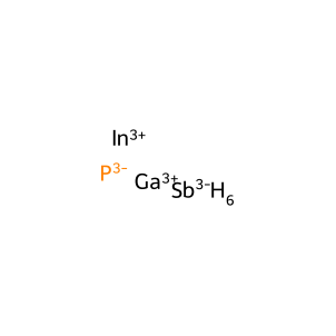 [Ga+3].[In+3].[P-3].[SbH6-3]